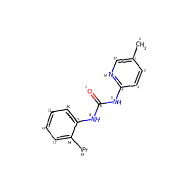 Cc1ccc(NC(=O)Nc2ccccc2C(C)C)nc1